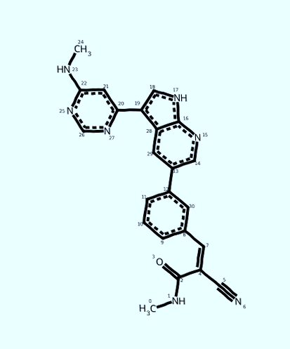 CNC(=O)C(C#N)=Cc1cccc(-c2cnc3[nH]cc(-c4cc(NC)ncn4)c3c2)c1